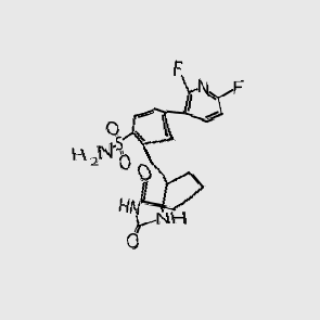 NS(=O)(=O)c1ccc(-c2ccc(F)nc2F)cc1CC1CCCC12NC(=O)NC2=O